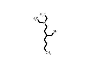 CCCCC(CS)CCN(CC)CC